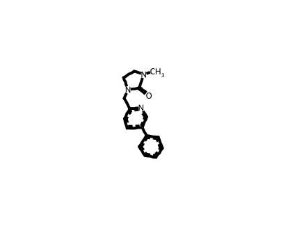 CN1CCN(Cc2ccc(-c3ccccc3)cn2)C1=O